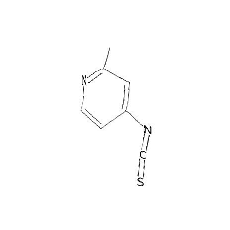 Cc1cc(N=C=S)ccn1